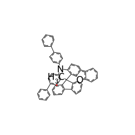 CC1(c2c(N(c3ccc(-c4ccccc4)cc3)c3ccc(-c4ccccc4)cc3)ccc3c2oc2ccccc23)c2ccccc2-c2ccccc21